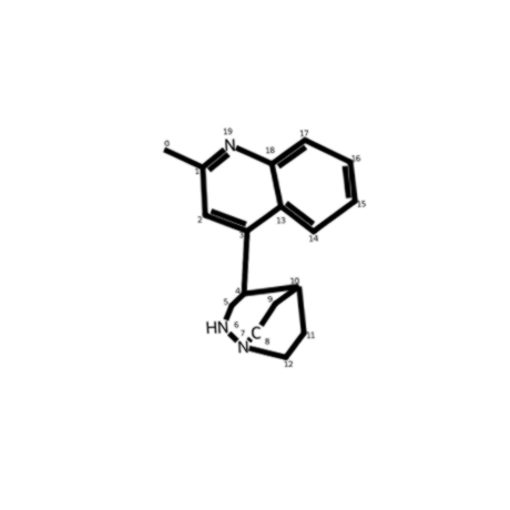 Cc1cc(C2CNN3CCC2CC3)c2ccccc2n1